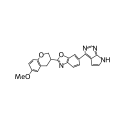 COc1ccc2c(c1)CC(c1nc3ccc(-c4ncnc5[nH]ccc45)cc3o1)CO2